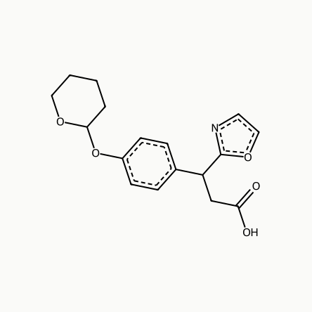 O=C(O)CC(c1ccc(OC2CCCCO2)cc1)c1ncco1